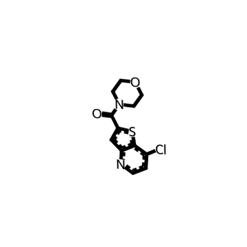 O=C(c1cc2nccc(Cl)c2s1)N1CCOCC1